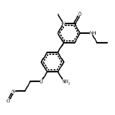 CCNc1cc(-c2ccc(OCC[S]=O)c(N)c2)cn(C)c1=O